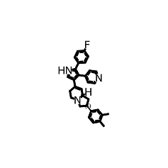 Cc1ccc([C@@H]2C[C@H]3C=C(c4c[nH]c(-c5ccc(F)cc5)c4-c4ccncc4)CCN3C2)cc1C